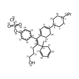 CC(C)N1CCN(C2=CC=C(/C(=C(/CCCO)C3(C)C=CC=CC3)c3ccc(OS(=O)(=O)C(F)(F)F)cc3)CC2)CC1